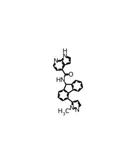 Cn1nccc1-c1cccc2c1-c1ccccc1C2NC(=O)c1ccnc2[nH]ccc12